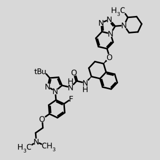 CC1CCCCN1c1nnc2ccc(O[C@@H]3CC[C@H](NC(=O)Nc4cc(C(C)(C)C)nn4-c4cc(OCCN(C)C)ccc4F)c4ccccc43)cn12